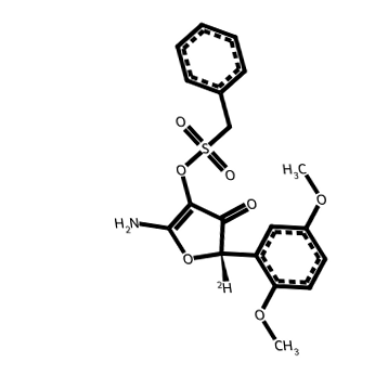 [2H][C@@]1(c2cc(OC)ccc2OC)OC(N)=C(OS(=O)(=O)Cc2ccccc2)C1=O